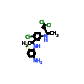 C=C(Nc1cc(N)ccc1F)c1cc(NC(=C)C2CC2(Cl)Cl)ccc1Cl